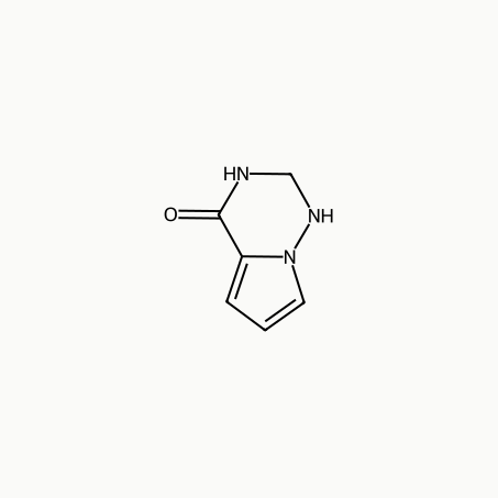 O=C1NCNn2cccc21